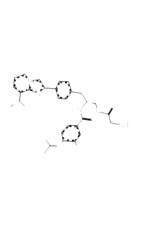 CC(C)Oc1ccc(C(=O)N[C@H](CNC(=O)CN)Cc2ccc(-c3cn4cccc([C@H](C)O)c4n3)cc2)cc1Cl